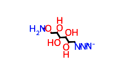 [N-]=[N+]=NC[C@@H](O)[C@@H](O)[C@H](O)[C@H](O)CON